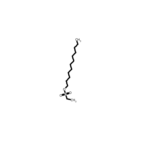 CCCCCCCCCCCCOS(=O)(=O)CC